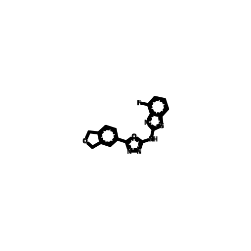 Fc1cccc2sc(Nc3nnc(-c4ccc5c(c4)COC5)o3)nc12